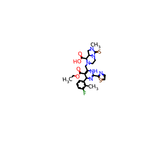 CCOC(=O)C1=C(CN2CCN3C(=S)N(C)CC3C2C(=O)O)NC(c2nccs2)=NC1c1cccc(F)c1C